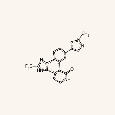 Cn1cc(-c2ccc3c(c2)c2c(=O)[nH]ccc2c2[nH]c(C(F)(F)F)nc32)cn1